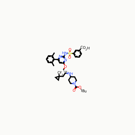 Cc1cccc(C)c1-c1cc(OC[C@@H](CC2(C(F)(F)F)CC2)NC2CCN(C(=O)OC(C)(C)C)CC2)nc(NS(=O)(=O)c2cccc(C(=O)O)c2)n1